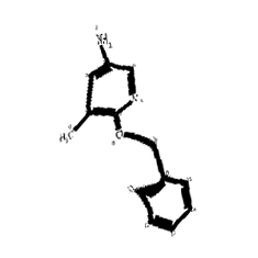 Cc1cc(N)cnc1OCc1ccccc1